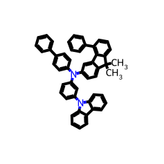 CC1(C)c2ccc(N(c3ccc(-c4ccccc4)cc3)c3cccc(-n4c5ccccc5c5ccccc54)c3)cc2-c2c(-c3ccccc3)cccc21